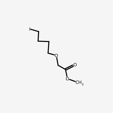 COC(=O)COCCCCI